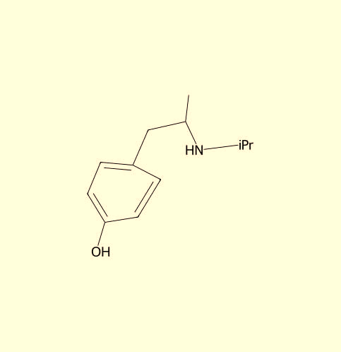 CC(C)NC(C)Cc1ccc(O)cc1